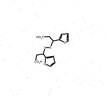 O=C(O)CC(SSC(CC(=O)O)c1ccco1)c1ccco1